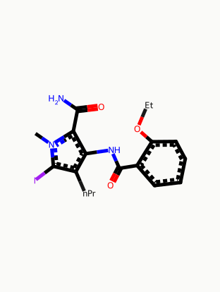 CCCc1c(NC(=O)c2ccccc2OCC)c(C(N)=O)n(C)c1I